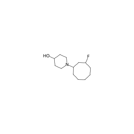 OC1CCN(C2CCCCCC(F)C2)CC1